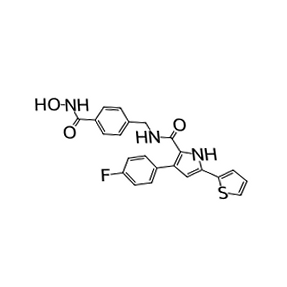 O=C(NO)c1ccc(CNC(=O)c2[nH]c(-c3cccs3)cc2-c2ccc(F)cc2)cc1